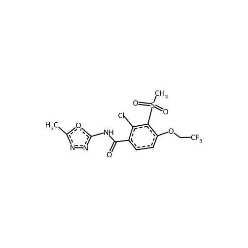 Cc1nnc(NC(=O)c2ccc(OCC(F)(F)F)c(S(C)(=O)=O)c2Cl)o1